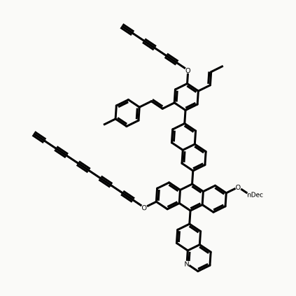 C#CC#CC#CC#CC#COc1ccc2c(-c3ccc4cc(-c5cc(/C=C/C)c(OC#CC#CC#C)cc5/C=C/c5ccc(C)cc5)ccc4c3)c3cc(OCCCCCCCCCC)ccc3c(-c3ccc4ncccc4c3)c2c1